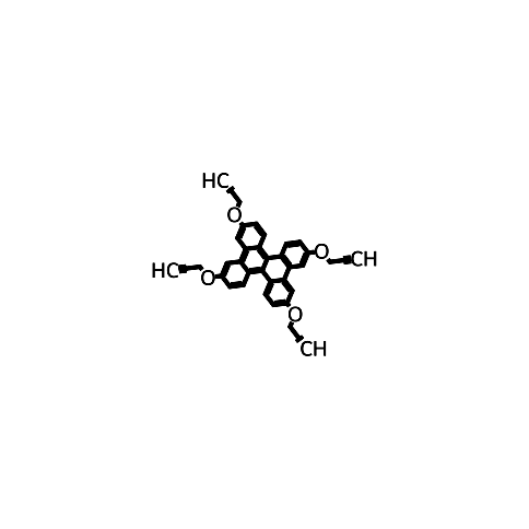 C#CCOc1ccc2c(c1)c1cc(OCC#C)ccc1c1c3ccc(OCC#C)cc3c3cc(OCC#C)ccc3c21